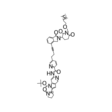 CN1CCC[C@@H]1c1cc2cnc(NC(=O)c3ccc(CCC#Cc4cccc5c4CN(C4CCC(=O)N(COCC[Si](C)(C)C)C4=O)C5=O)cn3)cc2n1C(=O)OC(C)(C)C